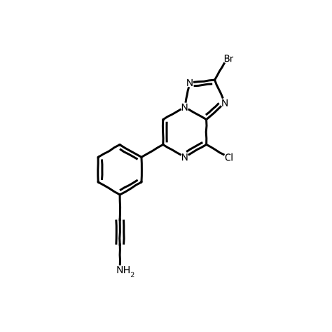 NC#Cc1cccc(-c2cn3nc(Br)nc3c(Cl)n2)c1